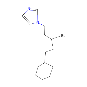 CCC(CCC1CCCCC1)CCn1ccnc1